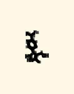 CC1=C(CO)N(c2ccc(C(F)F)nc2)NN1